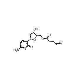 Nc1ccn([C@H]2C[C@H](O)[C@@H](COC(=O)CCC=O)O2)c(=O)n1